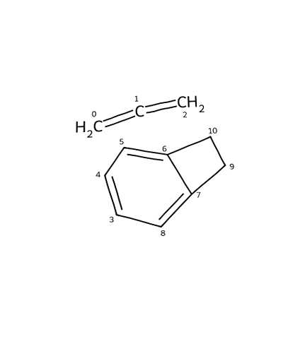 C=C=C.c1ccc2c(c1)CC2